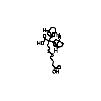 CN1[C@@H]2CC[C@H]1CC(C(CCSSCCCC(=O)O)(C(=O)O)C1C[C@H]3CC[C@@H](C1)N3C)C2